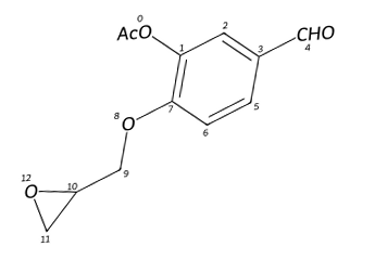 CC(=O)Oc1cc(C=O)ccc1OCC1CO1